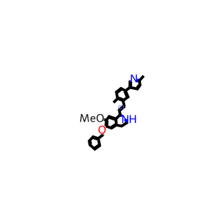 COc1cc2c(cc1OCc1ccccc1)CCNC2/C=C/c1cc(-c2ccc(C)nc2)ccc1C